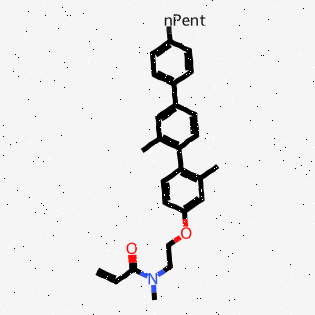 C=CC(=O)N(C)CCOc1ccc(-c2ccc(-c3ccc(CCCCC)cc3)cc2C)c(C)c1